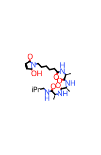 CC(C)CNC(=O)[C@H](C)NC(=O)[C@H](C)NC(=O)[C@H](C)NC(=O)CCCCCN1C(=O)C=CC1O